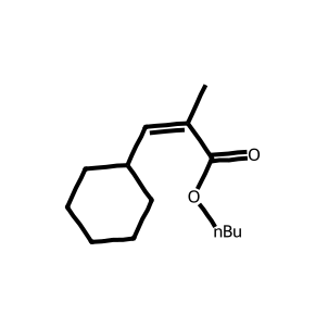 CCCCOC(=O)C(C)=CC1CCCCC1